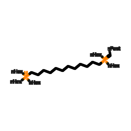 CCCCCC=P(CCCCCC)(CCCCCC)CCCCCCCCCCCC[PH](CCCCCC)(CCCCCC)CCCCCC